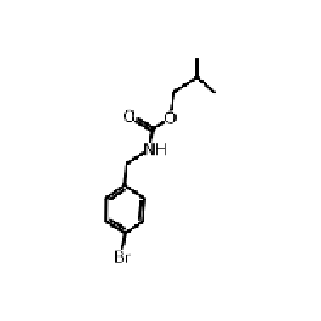 CC(C)COC(=O)NCc1ccc(Br)cc1